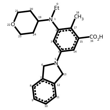 CCN(c1cc(N2Cc3ccccc3C2)cc(C(=O)O)c1C)C1CCOCC1